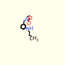 CCCCCNc1cccc(CN2CCOC2=O)c1